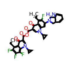 C=Cc1c(F)c(N2CC3C=CC=CC3(N)C2)cc2c1c(=O)c(C(=O)OC(=O)c1cn(C3CC3)c3c(F)c(F)c(F)c(C=C)c3c1=O)cn2C1CC1